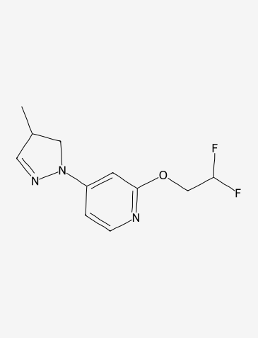 CC1C=NN(c2ccnc(OCC(F)F)c2)C1